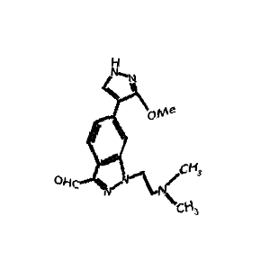 COc1n[nH]cc1-c1ccc2c(C=O)nn(CCN(C)C)c2c1